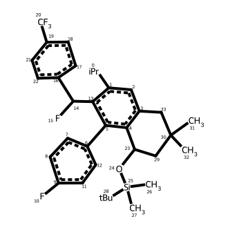 CC(C)c1cc2c(c(-c3ccc(F)cc3)c1C(F)c1ccc(C(F)(F)F)cc1)C(O[Si](C)(C)C(C)(C)C)CC(C)(C)C2